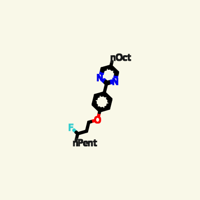 CCCCCCCCc1cnc(-c2ccc(OCCC(F)CCCCC)cc2)nc1